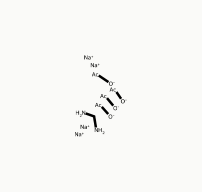 CC(=O)[O-].CC(=O)[O-].CC(=O)[O-].CC(=O)[O-].NCN.[Na+].[Na+].[Na+].[Na+]